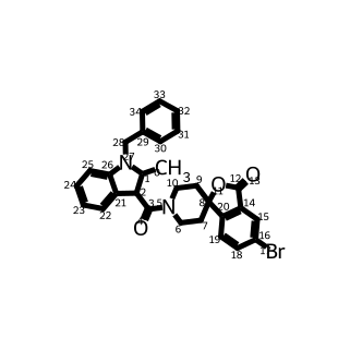 CC1C(C(=O)N2CCC3(CC2)OC(=O)c2cc(Br)ccc23)c2ccccc2N1Cc1ccccc1